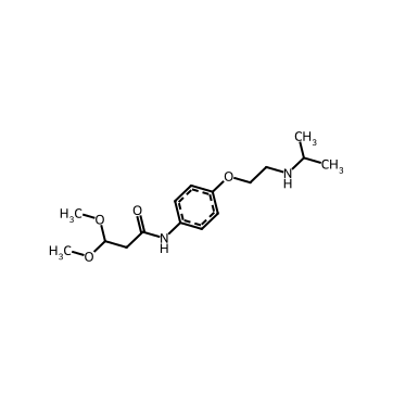 COC(CC(=O)Nc1ccc(OCCNC(C)C)cc1)OC